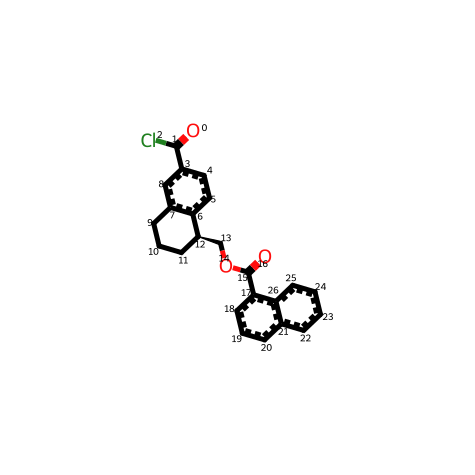 O=C(Cl)c1ccc2c(c1)CCC[C@@H]2COC(=O)c1cccc2ccccc12